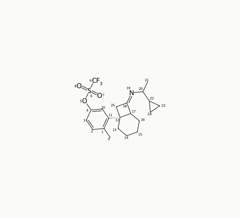 Cc1ccc(OS(=O)(=O)C(F)(F)F)cc1[C@@]12CCCCC1C(=NC(C)C1CC1)C2